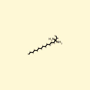 CCCCCCCCCCCCCC(N)(N)CC